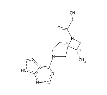 C[C@H]1CN(C(=O)CC#N)[C@@]12CCN(c1ncnc3[nH]ccc13)C2